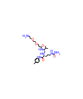 [CH2]c1ccc(NC(=O)[C@H](CCCNC(N)=O)NC[C@@H](NC(=O)CCOCCOCCN)C(C)C)cc1